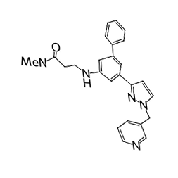 CNC(=O)CCNc1cc(-c2ccccc2)cc(-c2ccn(Cc3cccnc3)n2)c1